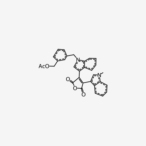 CC(=O)OCc1cccc(Cn2cc(C3=C(c4cn(C)c5ccccc45)C(=O)OC3=O)c3ccccc32)c1